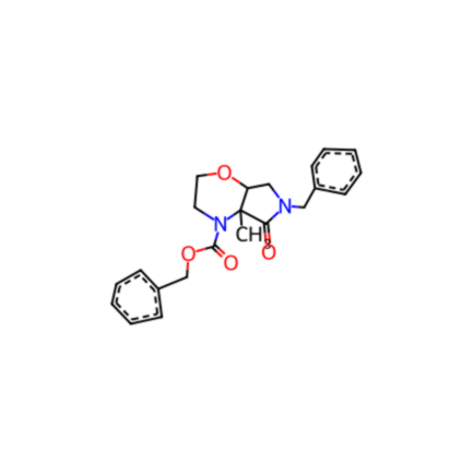 CC12C(=O)N(Cc3ccccc3)CC1OCCN2C(=O)OCc1ccccc1